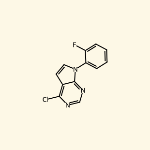 Fc1ccccc1-n1ccc2c(Cl)ncnc21